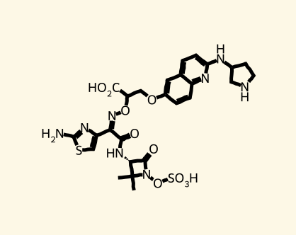 CC1(C)[C@H](NC(=O)/C(=N\OC(COc2ccc3nc(NC4CCNC4)ccc3c2)C(=O)O)c2csc(N)n2)C(=O)N1OS(=O)(=O)O